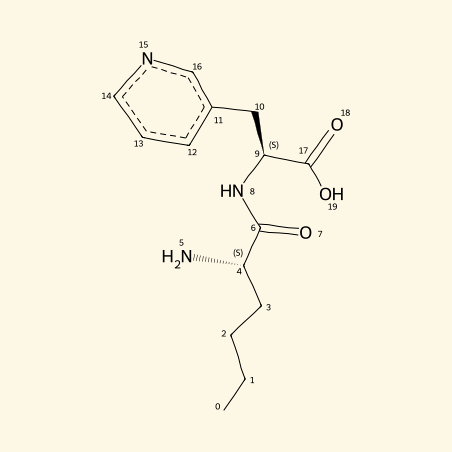 CCCC[C@H](N)C(=O)N[C@@H](Cc1cccnc1)C(=O)O